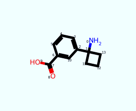 NC1(c2cccc(C(=O)O)c2)CCC1